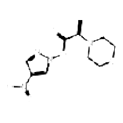 C=C(C(=O)On1cc([N+](=O)[O-])cn1)N1CCOCC1